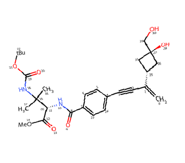 C=C(C#Cc1ccc(C(=O)N[C@H](C(=O)OC)C(C)(C)NC(=O)OC(C)(C)C)cc1)[C@H]1C[C@@](O)(CO)C1